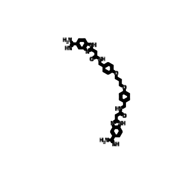 N=C(N)c1ccc2[nH]c(CC(=O)NCc3ccc(OCCCOc4ccc(CNC(=O)Cc5nc6cc(C(=N)N)ccc6[nH]5)cc4)cc3)nc2c1